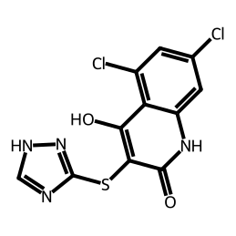 O=c1[nH]c2cc(Cl)cc(Cl)c2c(O)c1Sc1nc[nH]n1